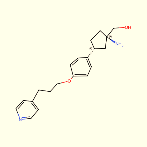 N[C@]1(CO)CC[C@@H](c2ccc(OCCCc3ccncc3)cc2)C1